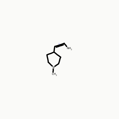 CN1CCC(/C=C\N)CC1